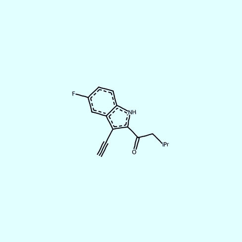 C#Cc1c(C(=O)CC(C)C)[nH]c2ccc(F)cc12